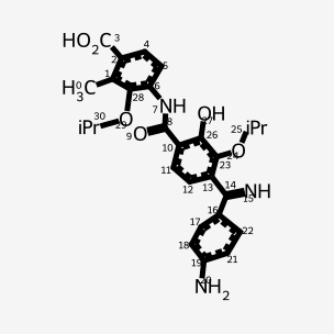 Cc1c(C(=O)O)ccc(NC(=O)c2ccc(C(=N)c3ccc(N)cc3)c(OC(C)C)c2O)c1OC(C)C